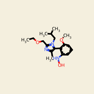 CCOCc1nc(C)c(-c2c(NO)cccc2OC)n1CC(C)C